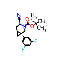 CC(C)(C)OC(=O)N1C[C@@]2(c3cc(F)cc(F)c3)CC2CC1C#N